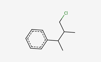 CC(CCl)C(C)c1ccccc1